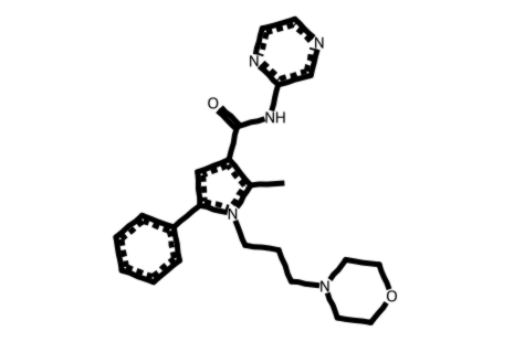 Cc1c(C(=O)Nc2cnccn2)cc(-c2ccccc2)n1CCCN1CCOCC1